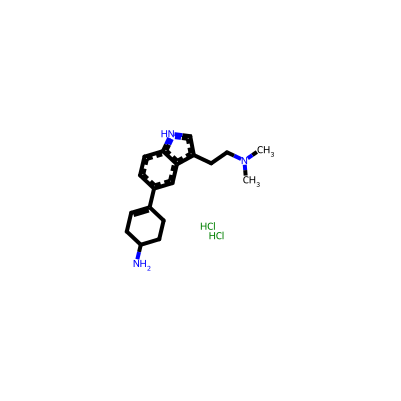 CN(C)CCc1c[nH]c2ccc(C3=CCC(N)CC3)cc12.Cl.Cl